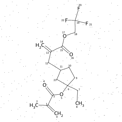 C=C(C)C(=O)OC1(CC)CCC(CC(=C)C(=O)OCC(F)(F)F)C1